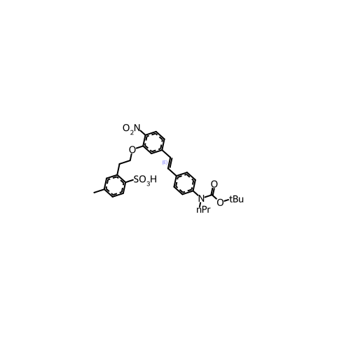 CCCN(C(=O)OC(C)(C)C)c1ccc(/C=C/c2ccc([N+](=O)[O-])c(OCCc3cc(C)ccc3S(=O)(=O)O)c2)cc1